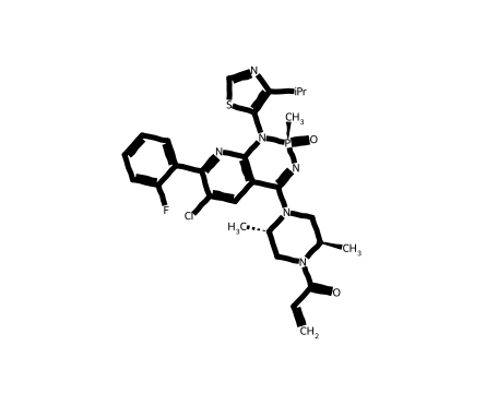 C=CC(=O)N1C[C@H](C)N(C2=N[P@@](C)(=O)N(c3scnc3C(C)C)c3nc(-c4ccccc4F)c(Cl)cc32)C[C@H]1C